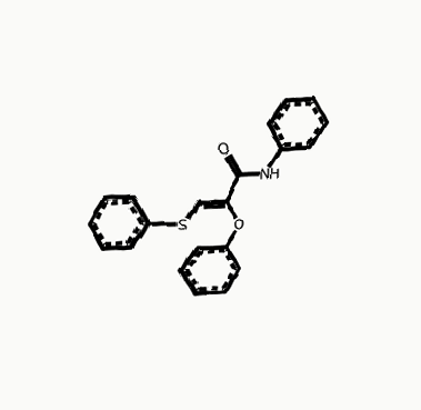 O=C(Nc1ccccc1)C(=CSc1ccccc1)Oc1ccccc1